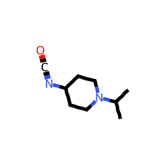 CC(C)N1CCC(N=C=O)CC1